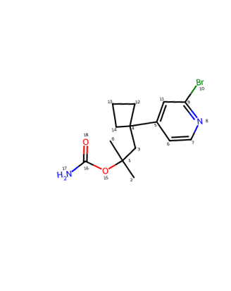 CC(C)(CC1(c2ccnc(Br)c2)CCC1)OC(N)=O